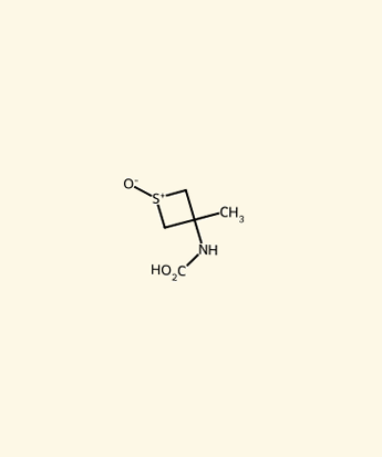 CC1(NC(=O)O)C[S+]([O-])C1